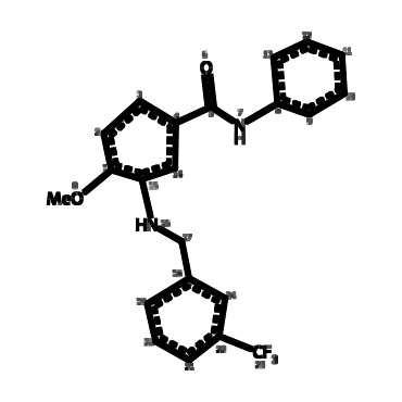 COc1ccc(C(=O)Nc2ccccc2)cc1NCc1cccc(C(F)(F)F)c1